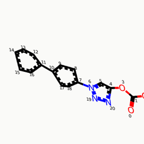 O=C(O)Oc1cn(-c2ccc(-c3ccccc3)cc2)nn1